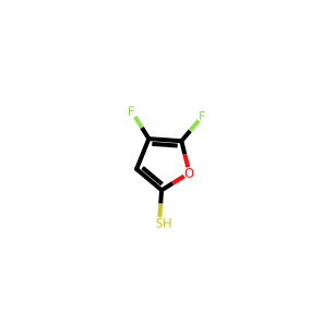 Fc1cc(S)oc1F